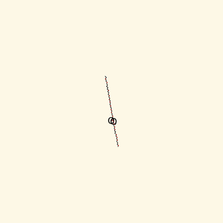 CCCCCCCCCCCCCCCCCCCCCCCCCCCCCCCCCCC(=O)OCCCCCCCCCCCCCCCCCCC